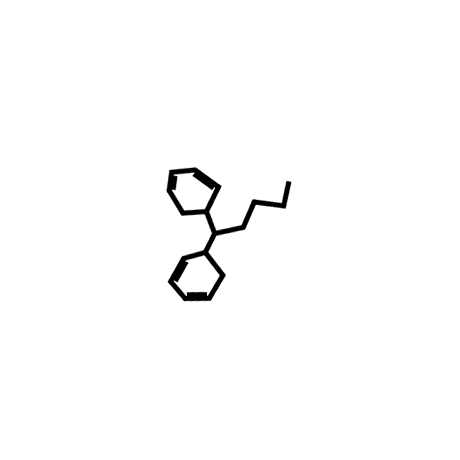 CCCCC(C1C=CC=CC1)C1C=CC=CC1